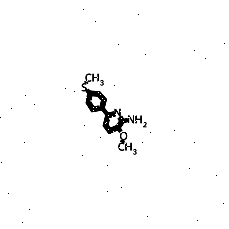 COc1ccc(-c2ccc(SC)cc2)nc1N